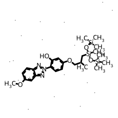 COc1ccc2nn(-c3ccc(OCC(C)C[Si](C)(O[Si](C)(C)C)O[Si](C)(C)C)cc3O)nc2c1